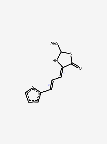 CSC1N/C(=C\C=C\c2cccs2)C(=O)S1